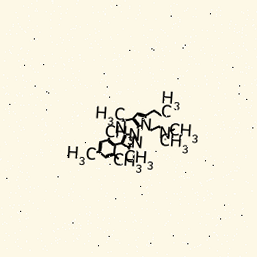 CCCc1cc2c(C)nc3c(-c4c(C)cc(C)cc4C)c(C)nn3c2n1CCN(C)C